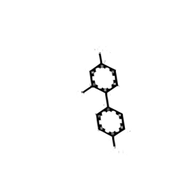 Cc1ccc(-c2ccc(C)cc2Cl)cc1